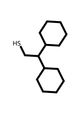 SCC(C1CCCCC1)C1CCCCC1